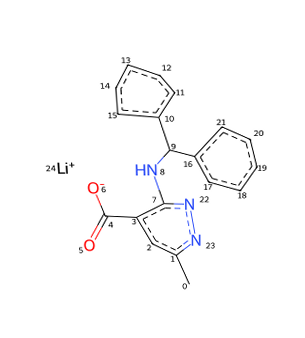 Cc1cc(C(=O)[O-])c(NC(c2ccccc2)c2ccccc2)nn1.[Li+]